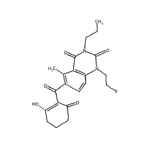 CCCn1c(=O)c2c(C)c(C(=O)C3=C(O)CCCC3=O)ccc2n(CCF)c1=O